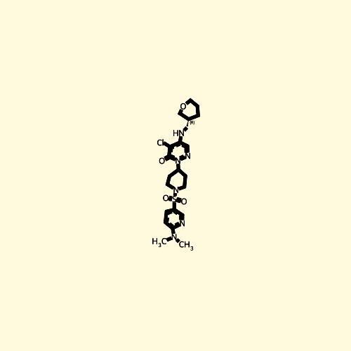 CN(C)c1ccc(S(=O)(=O)N2CCC(n3ncc(NC[C@H]4CCCOC4)c(Cl)c3=O)CC2)cn1